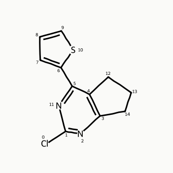 Clc1nc2c(c(-c3cccs3)n1)CCC2